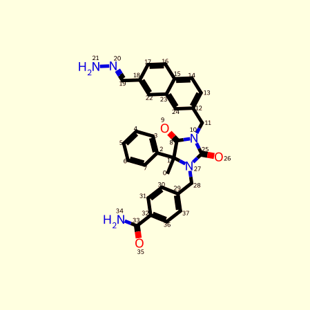 CC1(c2ccccc2)C(=O)N(Cc2ccc3ccc(C=NN)cc3c2)C(=O)N1Cc1ccc(C(N)=O)cc1